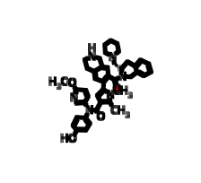 COc1ccc(N(C(=O)c2cc(-c3cc4c(cc3C(=O)N3Cc5ccccc5C[C@H]3CN3CCCCC3)CNCC4)n(C)c2C)c2ccc(O)cc2)cn1